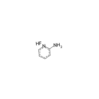 F.Nc1ccccn1